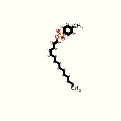 CCCCCCCCCC/C=C\CC=COS(=O)(=O)c1ccc(C)cc1